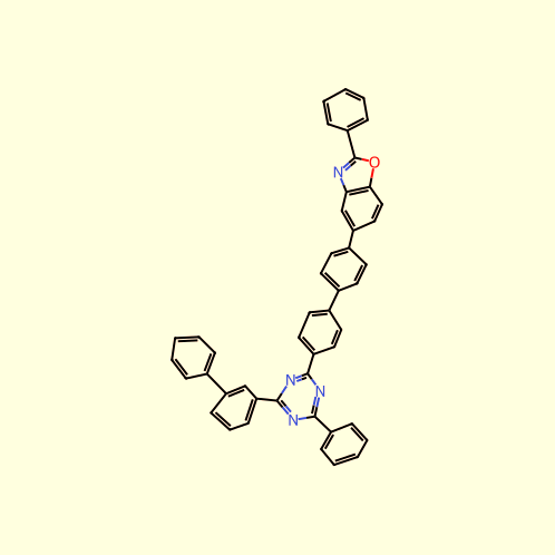 c1ccc(-c2cccc(-c3nc(-c4ccccc4)nc(-c4ccc(-c5ccc(-c6ccc7oc(-c8ccccc8)nc7c6)cc5)cc4)n3)c2)cc1